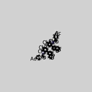 CC(=O)N1CCN(C(=O)/C=C/c2c(-c3ccc4c(c3)CCOO4)cc(Sc3cc(-c4ccc5c(c4)CCOO5)c(/C=C/C(=O)N4CCN(C(C)=O)CC4)c(Cl)c3Cl)c(Cl)c2Cl)CC1